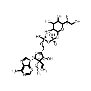 C=C[C@@]1(OC)[C@H](O)[C@@H](COP(=O)(S)OP(=O)(O)OC2OC([C@@H](F)CO)C(O)C(O)C2O)O[C@H]1n1cnc2c(N)ncnc21